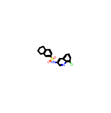 O=S(=O)(Nc1cnc2c(Cl)cccc2c1)c1ccc2c(c1)CCCC2